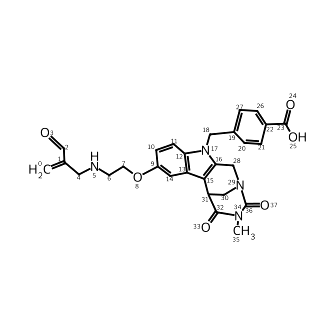 C=C(C=O)CNCCOc1ccc2c(c1)c1c(n2Cc2ccc(C(=O)O)cc2)CN2CC1C(=O)N(C)C2=O